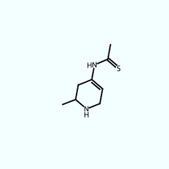 CC(=S)NC1=CCNC(C)C1